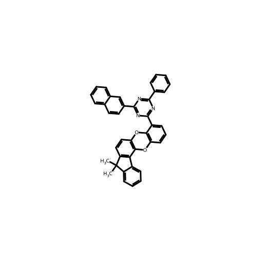 CC1(C)c2ccccc2-c2c1ccc1c2Oc2cccc(-c3nc(-c4ccccc4)nc(-c4ccc5ccccc5c4)n3)c2O1